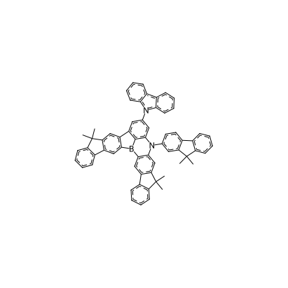 CC1(C)c2ccccc2-c2ccc(N3c4cc5c(cc4B4c6cc7c(cc6-c6cc(-n8c9ccccc9c9ccccc98)cc3c64)C(C)(C)c3ccccc3-7)-c3ccccc3C5(C)C)cc21